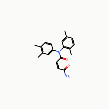 Cc1ccc(C)c(N(C(=O)/C=C\C(N)=O)c2ccc(C)c(C)c2)c1